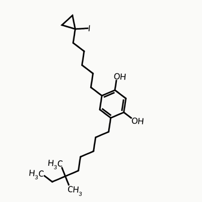 CCC(C)(C)CCCCCc1cc(CCCCCC2(I)CC2)c(O)cc1O